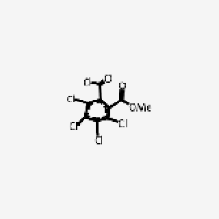 COC(=O)c1c(Cl)c(Cl)c(Cl)c(Cl)c1C(=O)Cl